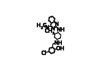 CN(C)c1nc(N[C@H]2CC[C@@H](NCc3cc(Cl)ccc3O)CC2)nc2ccccc12